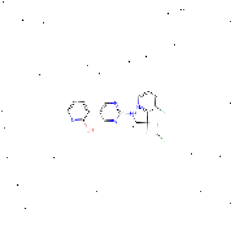 Oc1ncccc1-c1cnc(NCC2(c3ncccc3F)CC(F)C2)nc1